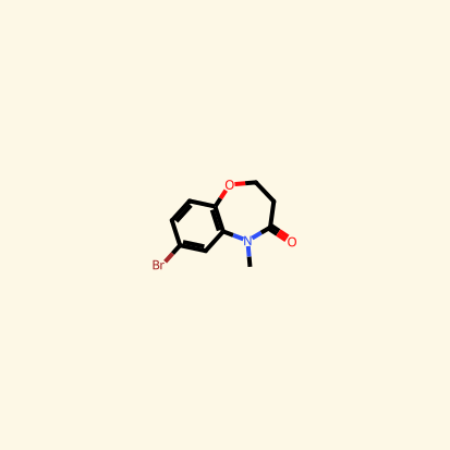 CN1C(=O)CCOc2ccc(Br)cc21